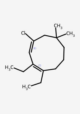 CCC1=C(\CC)CCCC(C)(C)C/C(Cl)=C\1